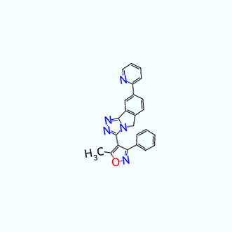 Cc1onc(-c2ccccc2)c1-c1nnc2n1Cc1ccc(-c3ccccn3)cc1-2